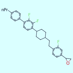 CCCc1ccc(-c2ccc(C3CCC(CCc4ccc(C5CO5)cc4F)CC3)c(F)c2F)cc1